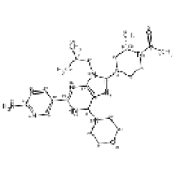 CC(=O)N1CCN(c2nc3c(n2CC(C)C)N=C(c2cnc(N)nc2)NC3N2CCOCC2)C[C@@H]1C